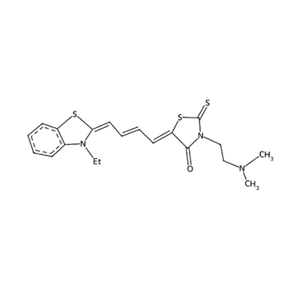 CCN1C(=CC=CC=C2SC(=S)N(CCN(C)C)C2=O)Sc2ccccc21